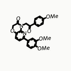 COc1ccc(C(=O)CN2C(=O)COc3ccc(-c4ccc(OC)c(OC)c4)nc32)cc1